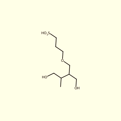 CC(CO)C(CO)COCCCS(=O)(=O)O